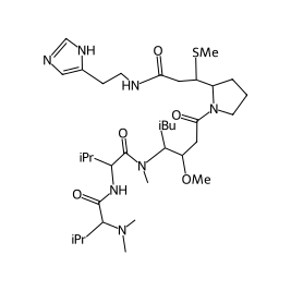 CCC(C)C(C(CC(=O)N1CCCC1C(CC(=O)NCCc1cnc[nH]1)SC)OC)N(C)C(=O)C(NC(=O)C(C(C)C)N(C)C)C(C)C